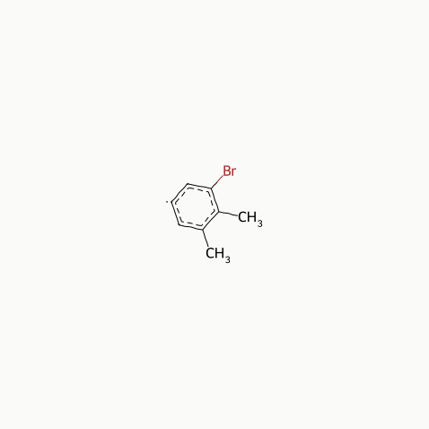 Cc1c[c]cc(Br)c1C